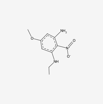 CCNc1cc(OC)cc(N)c1[N+](=O)[O-]